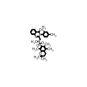 Cc1ccc(-n2c(CN(C)S(=O)(=O)c3c(C)c(C)c4c(c3C)OC(C)(C)CC4)nc3ccccc3c2=O)c(C)c1